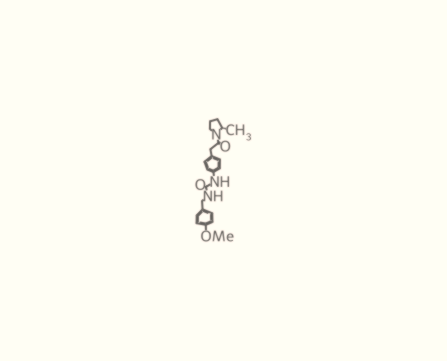 COc1ccc(CNC(=O)Nc2ccc(CC(=O)N3CCC[C@H]3C)cc2)cc1